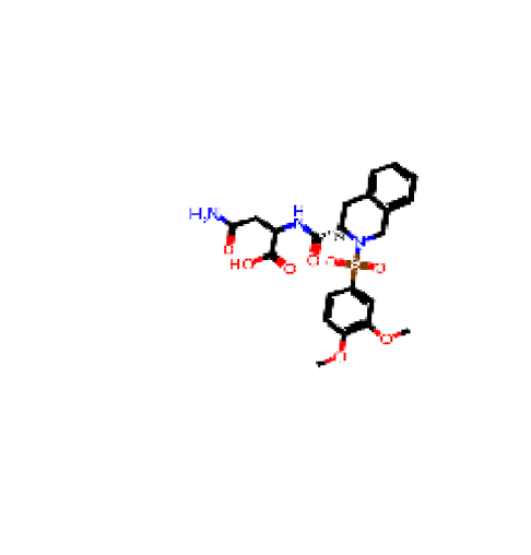 COc1ccc(S(=O)(=O)N2Cc3ccccc3C[C@H]2C(=O)NC(CC(N)=O)C(=O)O)cc1OC